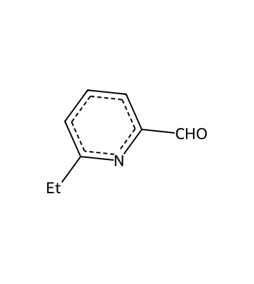 CCc1cccc(C=O)n1